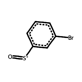 O=[S+]c1cccc(Br)c1